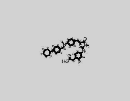 CN1C(=O)C(=Cc2ccc(N(C)Cc3ccc(C4CCCCC4)cc3)cc2)SC1=Nc1ccc(CC(=O)O)c(F)c1